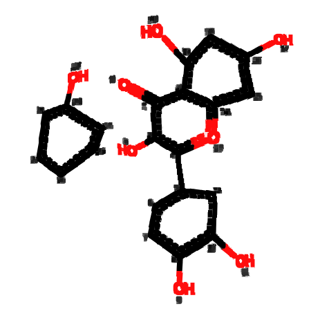 O=c1c(O)c(-c2ccc(O)c(O)c2)oc2cc(O)cc(O)c12.Oc1ccccc1